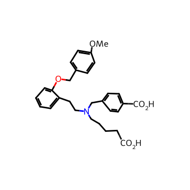 COc1ccc(COc2ccccc2CCN(CCCCC(=O)O)Cc2ccc(C(=O)O)cc2)cc1